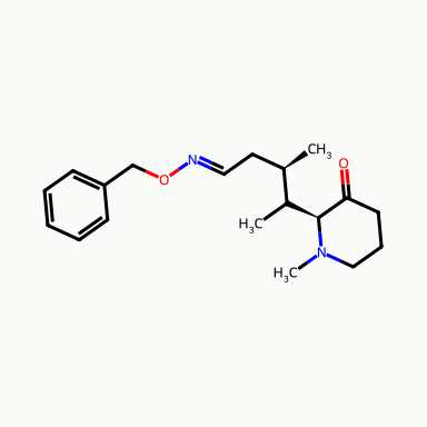 CC([C@H](C)C/C=N/OCc1ccccc1)[C@H]1C(=O)CCCN1C